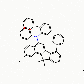 CC1(C)c2cccc(-c3ccccc3)c2-c2cc(N(c3ccccc3)c3ccccc3-c3ccccc3)c3ccccc3c21